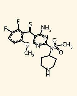 COc1ccc(F)c(F)c1C(=S)c1cnc(N(C2CCNCC2)S(C)(=O)=O)nc1N